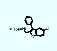 CCCCCCCNCc1oc2ccc(Cl)cc2c1-c1ccccc1